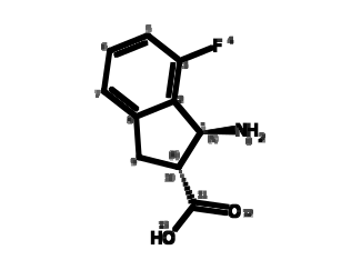 N[C@@H]1c2c(F)cccc2C[C@H]1C(=O)O